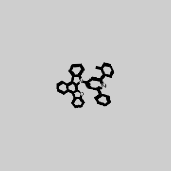 CC1C=CC=CC1c1cc(-n2c3ccccc3c3c4ccccc4c4c5ccccc5oc4c32)cc(-c2ccccc2)n1